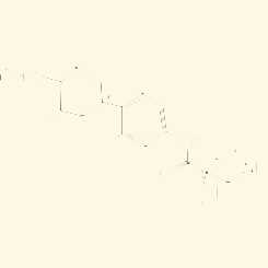 CCCCCC1CCC(c2ccc(OC(=O)C(C)(C)CN)cc2)CC1